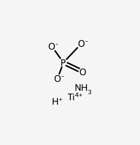 N.O=P([O-])([O-])[O-].[H+].[Ti+4]